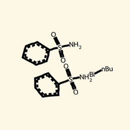 CCC[CH2][Bi].NS(=O)(=O)c1ccccc1.NS(=O)(=O)c1ccccc1